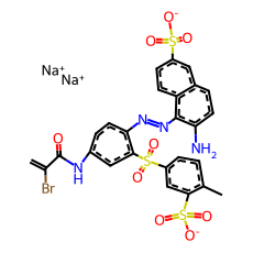 C=C(Br)C(=O)Nc1ccc(N=Nc2c(N)ccc3cc(S(=O)(=O)[O-])ccc23)c(S(=O)(=O)c2ccc(C)c(S(=O)(=O)[O-])c2)c1.[Na+].[Na+]